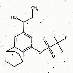 CCC(O)c1cc(OS(=O)(=O)C(F)(F)F)c2c(c1)C1CCC2CC1